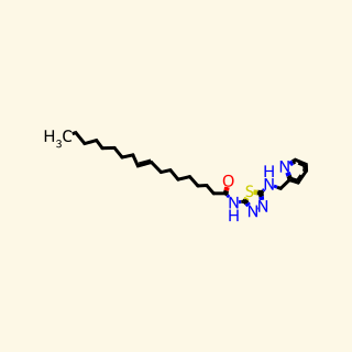 CCCCCCCCC=CCCCCCCCC(=O)Nc1nnc(NCc2ccccn2)s1